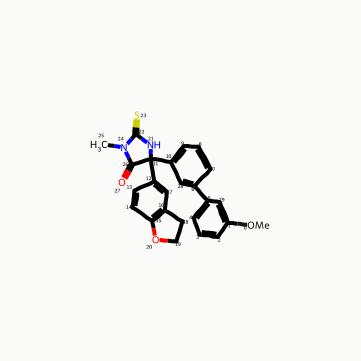 COc1cccc(-c2cccc(C3(c4ccc5c(c4)CCO5)NC(=S)N(C)C3=O)c2)c1